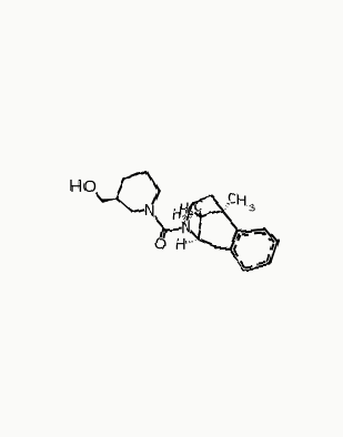 CC1(C)[C@H]2Cc3ccccc3[C@]1(C)CCN2C(=O)N1CCC[C@H](CO)C1